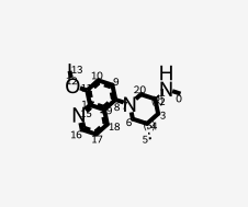 CN[C@@H]1C[C@H](C)CN(c2ccc(OI)c3ncccc23)C1